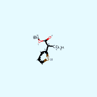 CCC(C)OC(=O)C(C(=O)O)c1cccs1